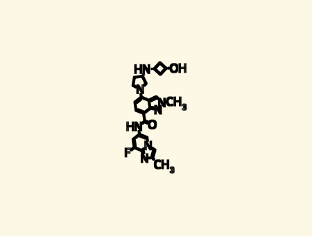 Cc1cn2cc(NC(=O)c3ccc(N4CC[C@@H](N[C@H]5C[C@H](O)C5)C4)c4cn(C)nc34)cc(F)c2n1